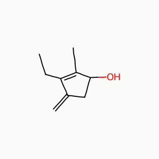 C=C1CC(O)C(C)=C1CC